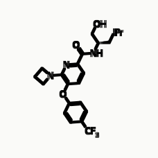 CC(C)C[C@H](CO)NC(=O)c1ccc(Oc2ccc(C(F)(F)F)cc2)c(N2CCC2)n1